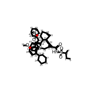 CCC(C)S(=O)(=O)NC(=O)C1=C2Cn3c(cc4c(OC)ccc(C5CCCCC5)c43)C3C(=C21)C=CC[C@H]3C(=O)N1C2CC1CN(Cc1ccccc1)C2